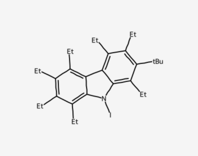 CCc1c(CC)c(CC)c2c(c1CC)c1c(CC)c(CC)c(C(C)(C)C)c(CC)c1n2I